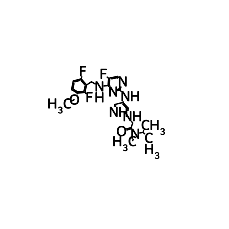 COc1ccc(F)c(CNc2nc(N/C(C=N)=C/NCC(=O)N(C)C(C)C)ncc2F)c1F